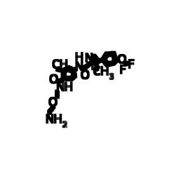 CCc1cc(NC(=O)c2ncc(-c3ccc(OC(F)F)cc3)n2C)ccc1C(=O)NCCOCCN